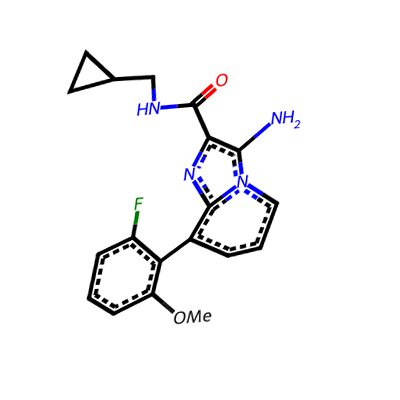 COc1cccc(F)c1-c1cccn2c(N)c(C(=O)NCC3CC3)nc12